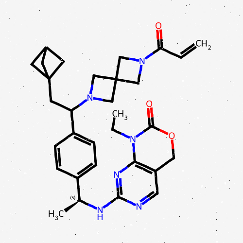 C=CC(=O)N1CC2(C1)CN(C(CC13CC(C1)C3)c1ccc([C@H](C)Nc3ncc4c(n3)N(CC)C(=O)OC4)cc1)C2